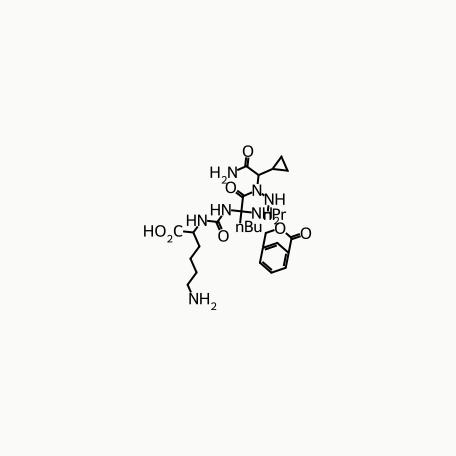 CCCCC(N)(NC(=O)NC(CCCCN)C(=O)O)C(=O)N(NCCC)C(C(N)=O)C1CC1.O=C1OCc2cccc1c2